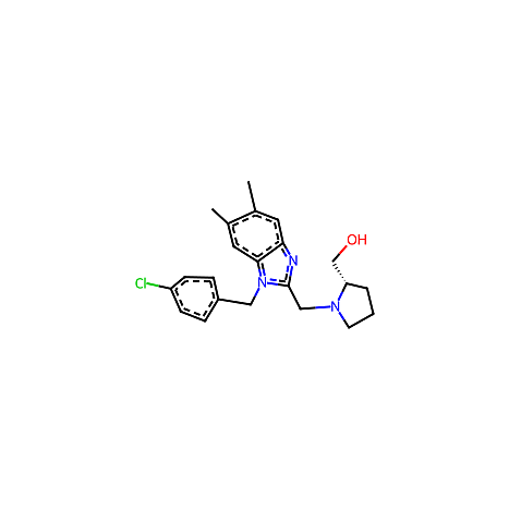 Cc1cc2nc(CN3CCC[C@H]3CO)n(Cc3ccc(Cl)cc3)c2cc1C